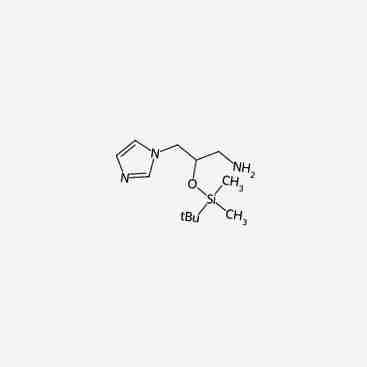 CC(C)(C)[Si](C)(C)OC(CN)Cn1ccnc1